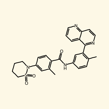 Cc1cc(N2CCCCS2(=O)=O)ccc1C(=O)Nc1ccc(C)c(-c2nccc3ncccc23)c1